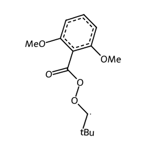 COc1cccc(OC)c1C(=O)OO[CH]C(C)(C)C